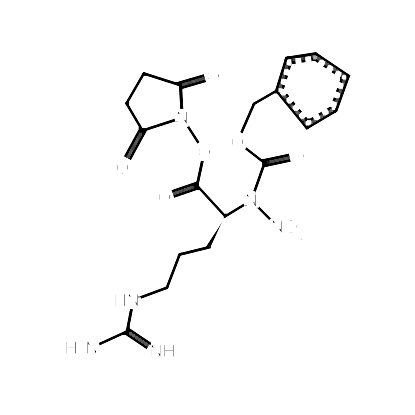 N=C(N)NCCC[C@@H](C(=O)ON1C(=O)CCC1=O)N(C(=O)OCc1ccccc1)[N+](=O)[O-]